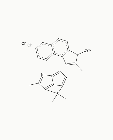 CC1=Cc2c(ccc3ccccc23)[CH]1[Zr+2].CC1=NC2=CC=C3C2=C1[Si]3(C)C.[Cl-].[Cl-]